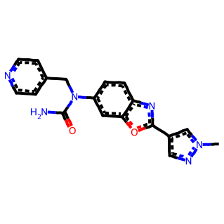 Cn1cc(-c2nc3ccc(N(Cc4ccncc4)C(N)=O)cc3o2)cn1